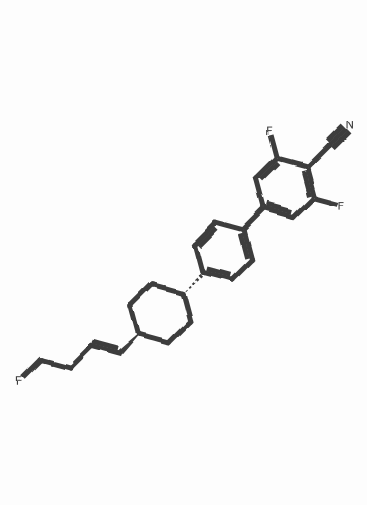 N#Cc1c(F)cc(-c2ccc([C@H]3CC[C@H](/C=C/CCF)CC3)cc2)cc1F